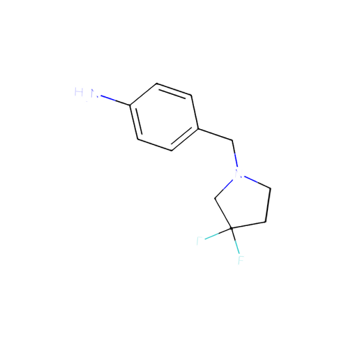 Nc1ccc(CN2CCC(F)(F)C2)cc1